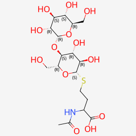 CC(=O)NC(CCS[C@@H]1O[C@H](CO)[C@@H](O[C@H]2O[C@H](CO)[C@@H](O)[C@H](O)[C@H]2O)[C@H](O)[C@H]1O)C(=O)O